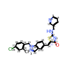 O=C1N=C(NCc2cccnc2)S/C1=C\c1ccc2c(cnn2Cc2ccc(Cl)cc2C(F)(F)F)c1